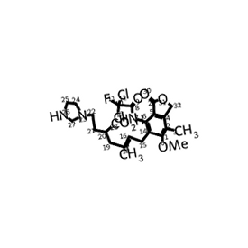 COc1c(C)c2c(c(NC(=O)C(F)(Cl)Cl)c1C/C=C(\C)CC(CCN1CCNC1)C(=O)O)C(=O)OC2